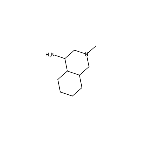 CN1CC(N)C2CCCCC2C1